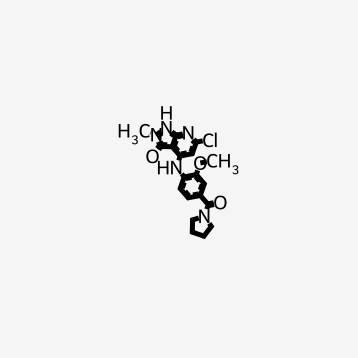 COc1cc(C(=O)N2CCCC2)ccc1Nc1cc(Cl)nc2[nH]n(C)c(=O)c12